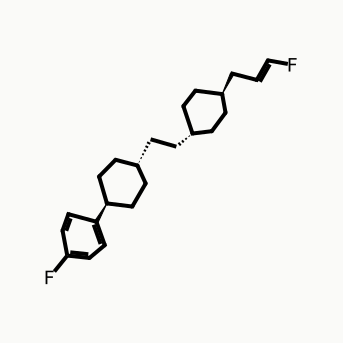 FC=CC[C@H]1CC[C@H](CC[C@H]2CC[C@H](c3ccc(F)cc3)CC2)CC1